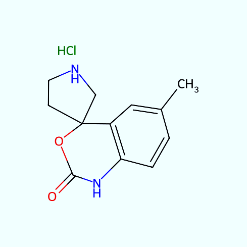 Cc1ccc2c(c1)C1(CCNC1)OC(=O)N2.Cl